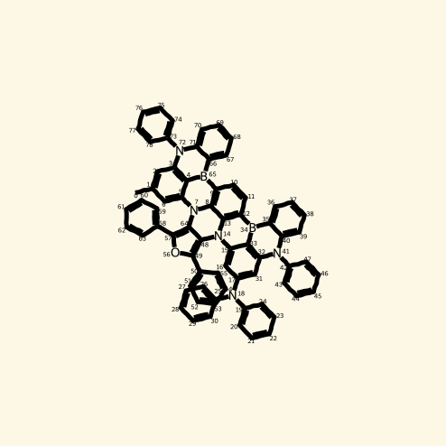 Cc1cc2c3c(c1)N1c4c(ccc5c4N(c4cc(N(c6ccccc6)c6ccccc6)cc6c4B5c4ccccc4N6c4ccccc4)c4c(-c5ccccc5)oc(-c5ccccc5)c41)B3c1ccccc1N2c1ccccc1